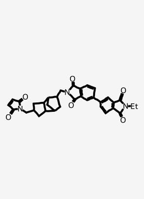 CCN1C(=O)c2ccc(-c3ccc4c(c3)C(=O)N(CC3CC5CC3C3CC(CN6C(=O)C=CC6=O)CC53)C4=O)cc2C1=O